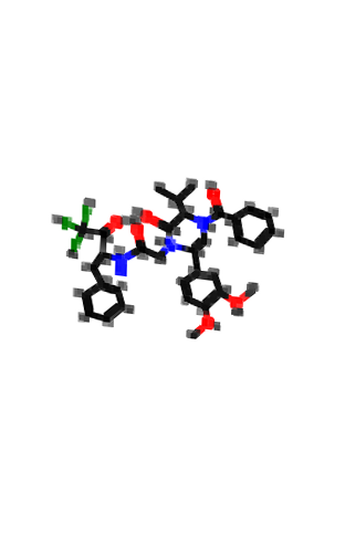 COc1ccc(C2=CN(C(=O)c3ccccc3)C(C(C)C)C(=O)N2CC(=O)NC(Cc2ccccc2)C(=O)C(F)(F)F)cc1OC